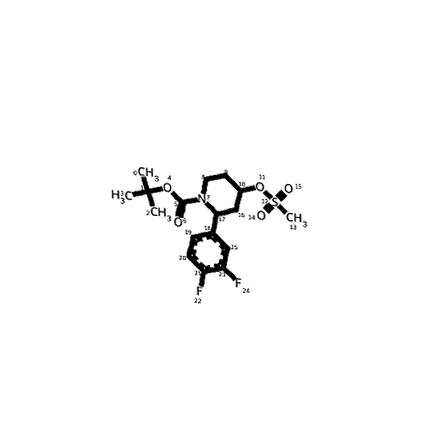 CC(C)(C)OC(=O)N1CCC(OS(C)(=O)=O)CC1c1ccc(F)c(F)c1